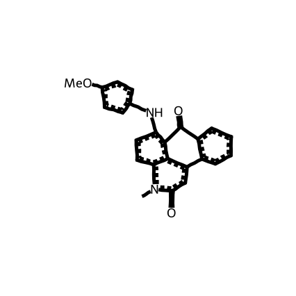 COc1ccc(Nc2ccc3c4c(cc(=O)n3C)-c3ccccc3C(=O)c24)cc1